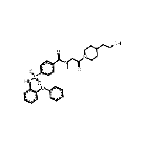 O=C(NCC(=O)N1CCC(CCO)CC1)c1ccc(S(=O)(=O)Nc2ccccc2Oc2ccccc2)cc1